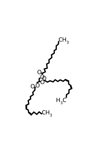 CCCCC/C=C\C/C=C\CCCCCCCC(=O)OCC(COC(=O)CCCCCCCCCCCCCCC)OC(=O)CCCCCCC/C=C\C/C=C\CCCCC